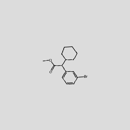 COC(=O)C(c1cccc(Br)c1)C1CCCCC1